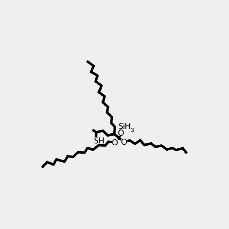 CCCCCCCCCCCCCCOC(O[SiH3])(OCCCCCCCCCCCC)C(CCCCCCCCCCCCCC)CCC(C)S